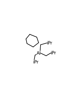 C1CCCCC1.CC(C)[CH2][Al]([CH2]C(C)C)[CH2]C(C)C